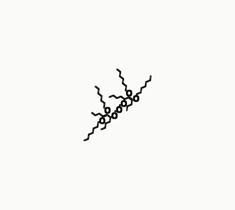 CCCCCCCOC(CCC)=C(OCCCCCCC)C(CCCC)OCOCOC(CCCC)C(OCCCCCCC)=C(CCC)OCCCCCCC